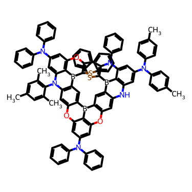 Cc1ccc(N(c2ccc(C)cc2)c2cc3c4c(c2)N(c2ccccc2)c2c(sc5ccccc25)B4c2cc4c(cc2N3)Oc2cc(N(c3ccccc3)c3ccccc3)cc3c2B4c2cc4c(cc2O3)N(c2c(C)cc(C)cc2C)c2cc(N(c3ccccc3)c3ccccc3)cc3c2B4c2sc4ccccc4c2O3)cc1